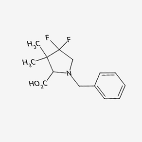 CC1(C)C(C(=O)O)N(Cc2ccccc2)CC1(F)F